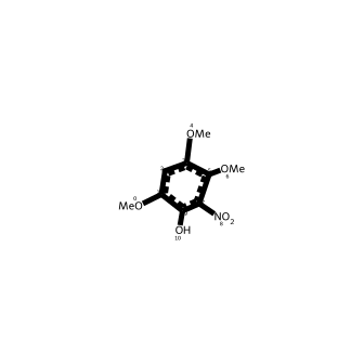 COc1cc(OC)c(OC)c([N+](=O)[O-])c1O